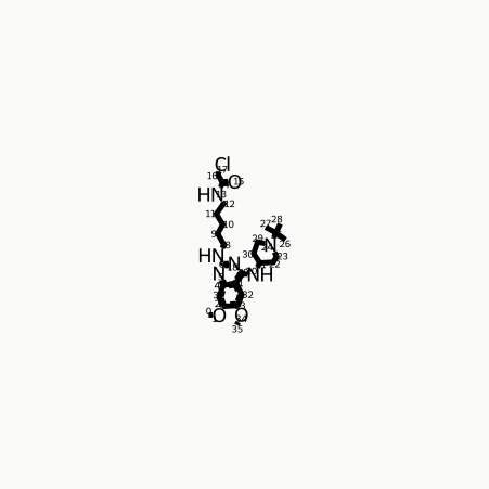 COc1cc2nc(NCCCCCNC(=O)CCl)nc(NC3CCN(C(C)(C)C)CC3)c2cc1OC